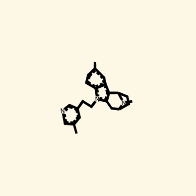 Cc1cncc(CCn2c3c(c4cc(C)ccc42)C2CCC(C3)N2C)c1